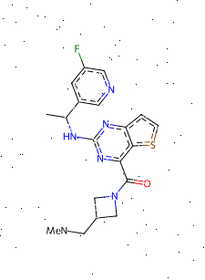 CNCC1CN(C(=O)c2nc(NC(C)c3cncc(F)c3)nc3ccsc23)C1